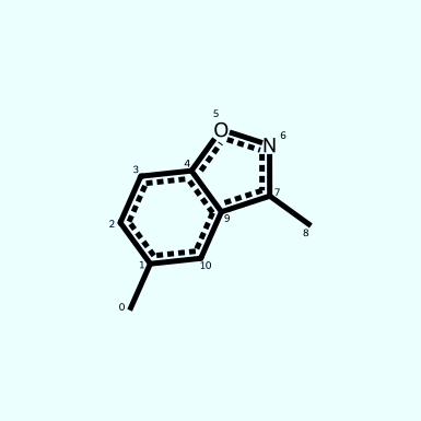 Cc1ccc2onc(C)c2c1